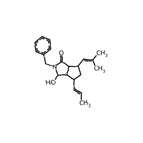 C/C=C/C1CC(C=C(C)C)C2C(=O)N(Cc3ccccc3)C(O)C12